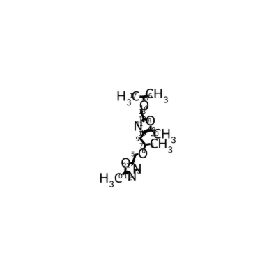 Cc1nnc(COC(C)Cc2nc(COC(C)C)oc2C)o1